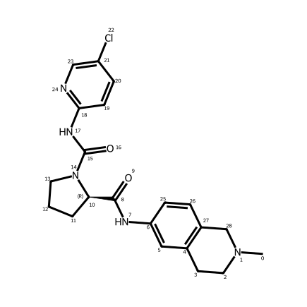 CN1CCc2cc(NC(=O)[C@H]3CCCN3C(=O)Nc3ccc(Cl)cn3)ccc2C1